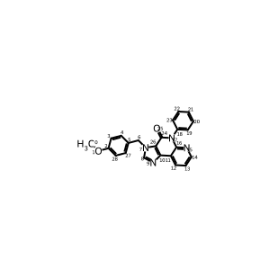 COc1ccc(Cn2cnc3c4cccnc4n(-c4ccccc4)c(=O)c32)cc1